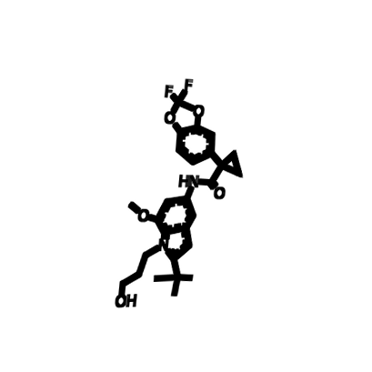 COc1cc(NC(=O)C2(c3ccc4c(c3)OC(F)(F)O4)CC2)cc2cc(C(C)(C)C)n(CCCO)c12